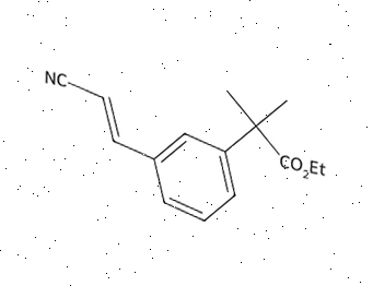 CCOC(=O)C(C)(C)c1cccc(C=CC#N)c1